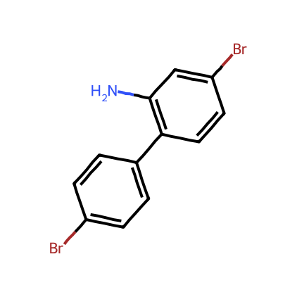 Nc1cc(Br)ccc1-c1ccc(Br)cc1